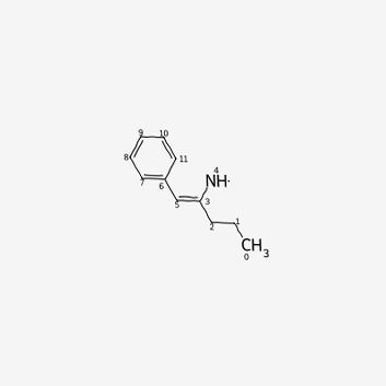 CCC/C([NH])=C/c1ccccc1